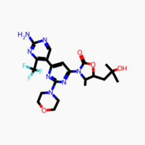 CC1C(CC(C)(C)O)OC(=O)N1c1cc(-c2cnc(N)nc2C(F)(F)F)nc(N2CCOCC2)n1